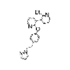 CCc1ncccc1-c1cccnc1Oc1ccc(CCn2cccn2)cc1